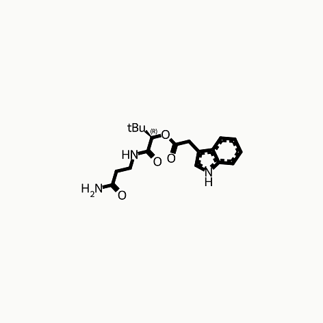 [CH2]C(C)(C)[C@@H](OC(=O)Cc1c[nH]c2ccccc12)C(=O)NCCC(N)=O